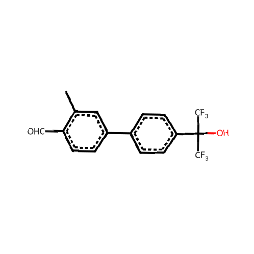 Cc1cc(-c2ccc(C(O)(C(F)(F)F)C(F)(F)F)cc2)ccc1C=O